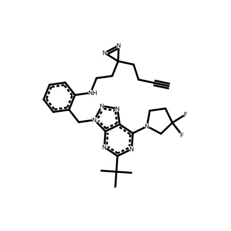 C#CCCC1(CCNc2ccccc2Cn2nnc3c(N4CCC(F)(F)C4)nc(C(C)(C)C)nc32)N=N1